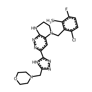 Fc1ccc(Cl)c(CN2CCNc3nnc(-c4nnc(CN5CCOCC5)[nH]4)cc32)c1[SiH3]